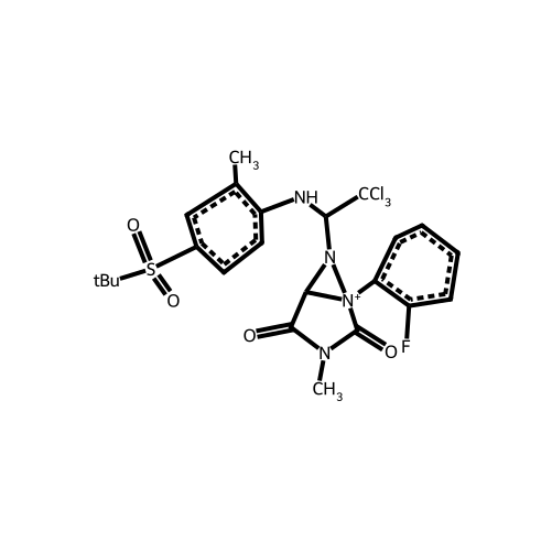 Cc1cc(S(=O)(=O)C(C)(C)C)ccc1NC(N1C2C(=O)N(C)C(=O)[N+]21c1ccccc1F)C(Cl)(Cl)Cl